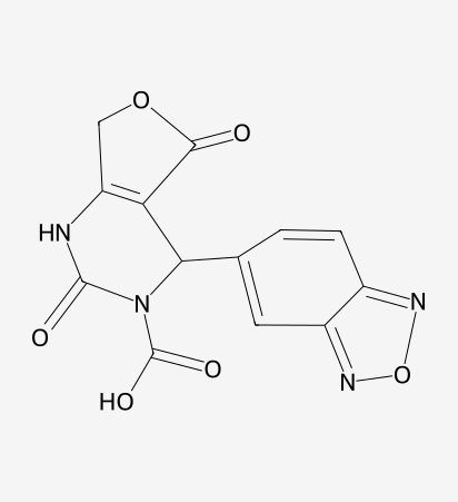 O=C1OCC2=C1C(c1ccc3nonc3c1)N(C(=O)O)C(=O)N2